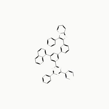 C/C=C\C(=C/C)c1nc(-c2ccccc2)nc(-c2cc(-c3cccc(-c4nc5ccccn5c4-c4ccccc4)c3)cc(-c3cccc4ccccc34)c2)n1